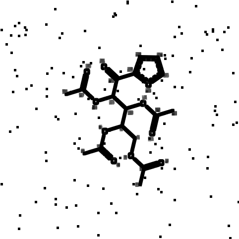 CC(=O)OCC(OC(C)=O)C(OC(C)=O)C(OC(C)=O)C(=O)c1ccco1